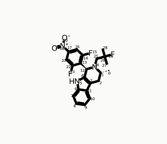 C[C@@H]1Cc2c([nH]c3ccccc23)[C@@H](c2c(F)cc([N+](=O)[O-])cc2F)N1CC(C)(C)F